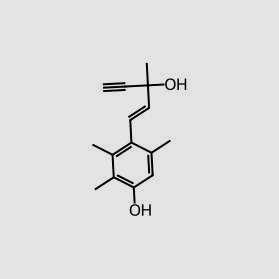 C#CC(C)(O)/C=C/c1c(C)cc(O)c(C)c1C